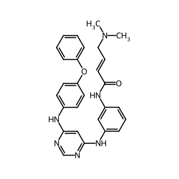 CN(C)CC=CC(=O)Nc1cccc(Nc2cc(Nc3ccc(Oc4ccccc4)cc3)ncn2)c1